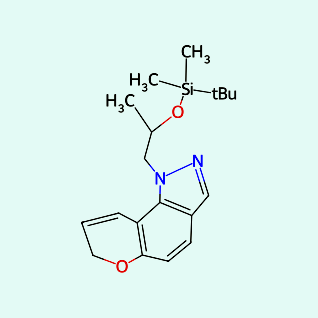 CC(Cn1ncc2ccc3c(c21)C=CCO3)O[Si](C)(C)C(C)(C)C